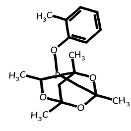 Cc1ccccc1OP1C2(C)CC3(C)OC(C)(CC1(C)O3)O2